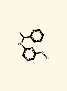 CCOc1cncc(NC(C)c2ccccn2)n1